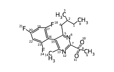 CCC(C)Cc1nc(S(C)(=O)=O)nc(C)c1-c1c(F)cc(F)cc1F